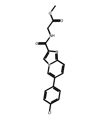 COC(=O)CNC(=O)c1cn2cc(-c3ccc(Cl)cc3)ccc2n1